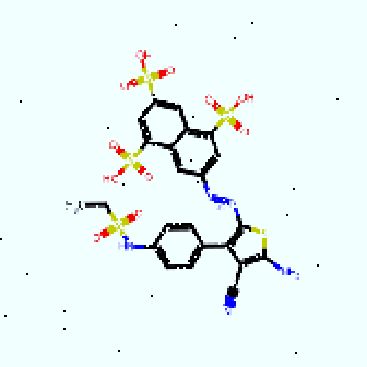 CCS(=O)(=O)Nc1ccc(-c2c(/N=N/c3cc(S(=O)(=O)O)c4cc(S(=O)(=O)O)cc(S(=O)(=O)O)c4c3)sc(N)c2C#N)cc1